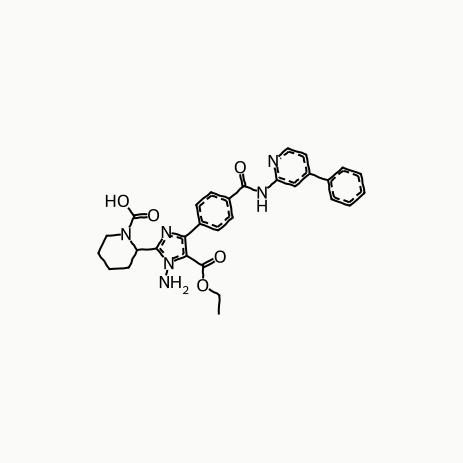 CCOC(=O)c1c(-c2ccc(C(=O)Nc3cc(-c4ccccc4)ccn3)cc2)nc(C2CCCCN2C(=O)O)n1N